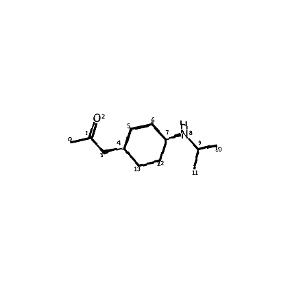 CC(=O)C[C@H]1CC[C@@H](NC(C)C)CC1